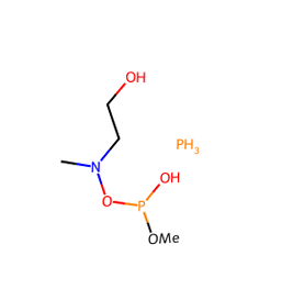 COP(O)ON(C)CCO.P